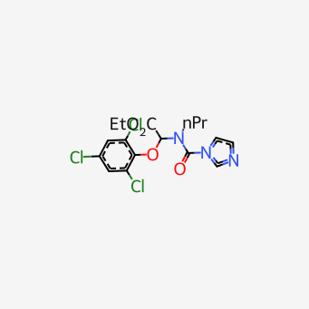 CCCN(C(=O)n1ccnc1)C(Oc1c(Cl)cc(Cl)cc1Cl)C(=O)OCC